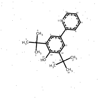 CC(C)(C)c1cc(-c2ccc[c]n2)cc(C(C)(C)C)c1O